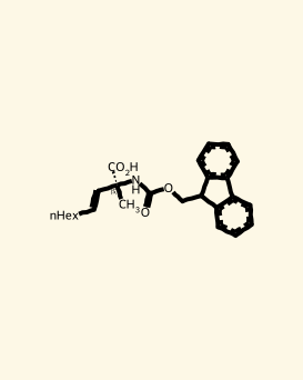 CCCCCCC=C[C@](C)(NC(=O)OCC1c2ccccc2-c2ccccc21)C(=O)O